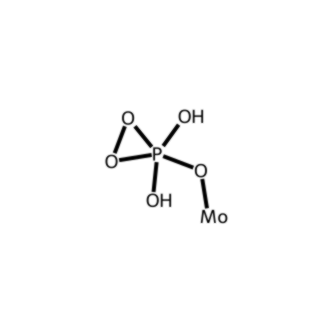 OP1(O)([O][Mo])OO1